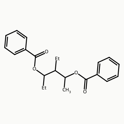 CCC(OC(=O)c1ccccc1)C(CC)C(C)OC(=O)c1ccccc1